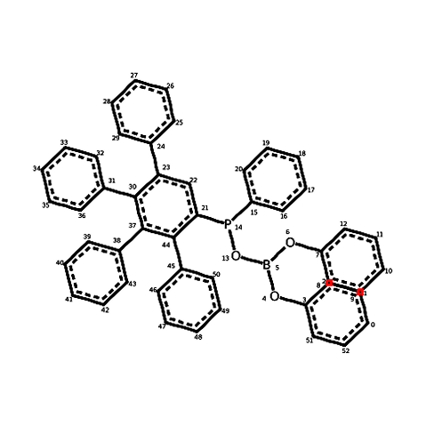 c1ccc(OB(Oc2ccccc2)OP(c2ccccc2)c2cc(-c3ccccc3)c(-c3ccccc3)c(-c3ccccc3)c2-c2ccccc2)cc1